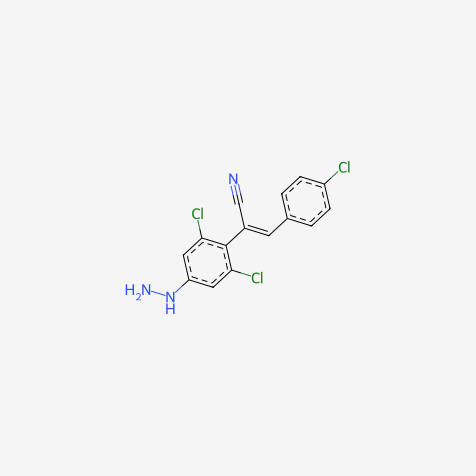 N#CC(=Cc1ccc(Cl)cc1)c1c(Cl)cc(NN)cc1Cl